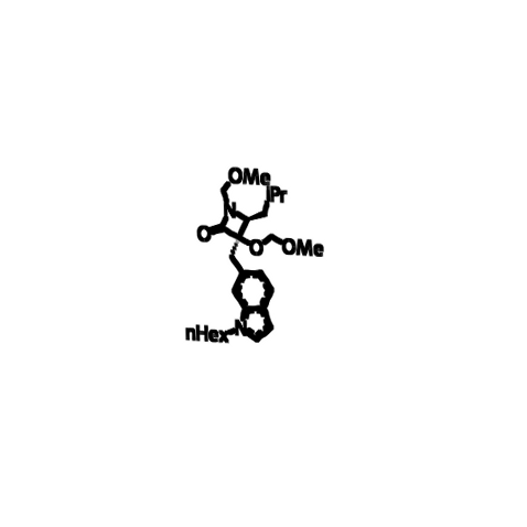 CCCCCCn1ccc2ccc(C[C@]3(OCOC)C(=O)N(COC)[C@H]3CC(C)C)cc21